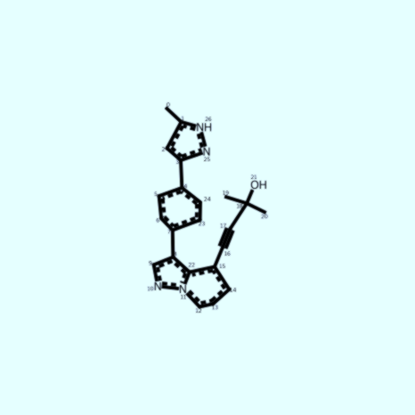 Cc1cc(-c2ccc(-c3cnn4cccc(C#CC(C)(C)O)c34)cc2)n[nH]1